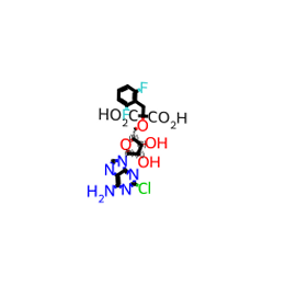 Nc1nc(Cl)nc2c1ncn2[C@@H]1O[C@H](COC(Cc2c(F)cccc2F)(C(=O)O)C(=O)O)[C@H](O)[C@H]1O